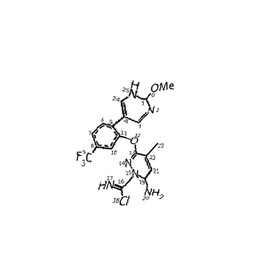 COC1N=CC(c2ccc(C(F)(F)F)cc2OC2=NN(C(=N)Cl)C(N)C=C2C)=CN1